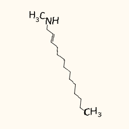 CCCCCCCCCCCC=CCNC